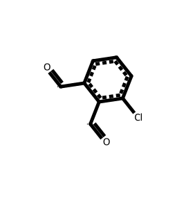 O=[C]c1cccc(Cl)c1[C]=O